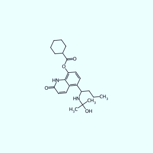 CCCC(NC(C)(C)O)c1ccc(OC(=O)C2CCCCC2)c2[nH]c(=O)ccc12